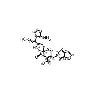 CON=C(C(=O)NC1C(=O)N2C(C(=O)[O-])=C(C[n+]3ccc4ccoc4c3)CS[C@@H]12)N1C=COC1N